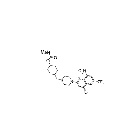 CNC(=O)OC1CCC(CN2CCN(c3cc(=O)c4cc(C(F)(F)F)cc([N+](=O)[O-])c4s3)CC2)CC1